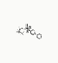 CC1(C)CC(NS(=O)(=O)c2ccc(-c3ccccc3)cc2)CC(C)(C)N1